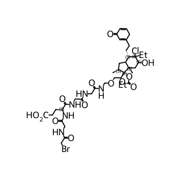 CCC(=O)O[C@]1(C(=O)COCNC(=O)CNC(=O)CNC(=O)[C@H](CCC(=O)O)NC(=O)CNC(=O)CBr)[C@@H](C)CC2[C@H](CCC3=CC(=O)C=CC3)[C@@](Cl)(CC)[C@@H](O)C[C@@]21C